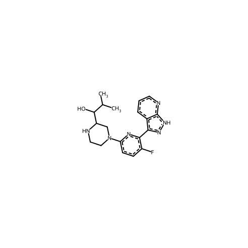 CC(C)C(O)C1CN(c2ccc(F)c(-c3n[nH]c4ncccc34)n2)CCN1